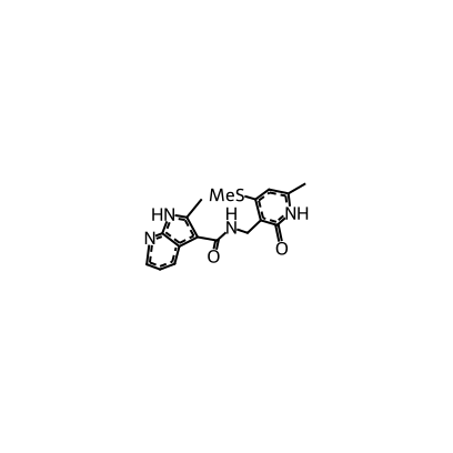 CSc1cc(C)[nH]c(=O)c1CNC(=O)c1c(C)[nH]c2ncccc12